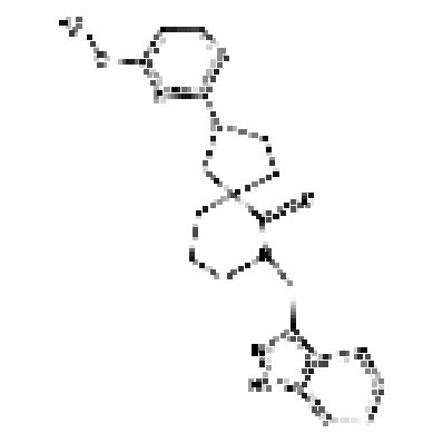 COc1ccnc(N2CCC3(CCCN(Cc4n[nH]c5ccccc45)C3=O)C2)n1